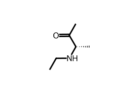 CCN[C@@H](C)C(C)=O